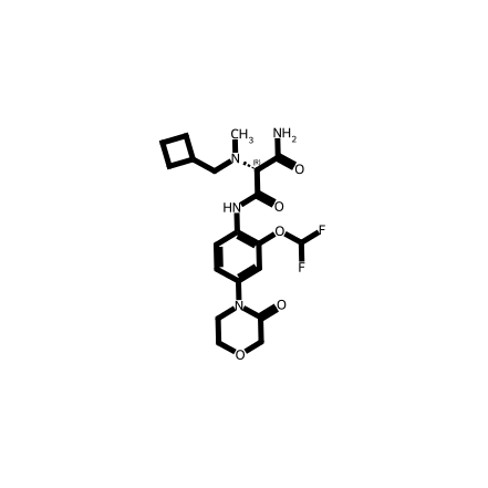 CN(CC1CCC1)[C@H](C(N)=O)C(=O)Nc1ccc(N2CCOCC2=O)cc1OC(F)F